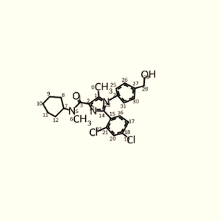 Cc1c(C(=O)N(C)C2CCCCC2)nc(-c2ccc(Cl)cc2Cl)n1-c1ccc(CO)cc1